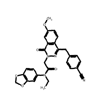 CCN(C(=O)Cn1nc(Cc2ccc(C#N)cc2)c2ccc(OC)cc2c1=O)c1ccc2c(c1)OCO2